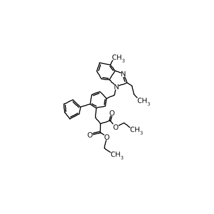 CCCc1nc2c(C)cccc2n1Cc1ccc(-c2ccccc2)c(CC(C(=O)OCC)C(=O)OCC)c1